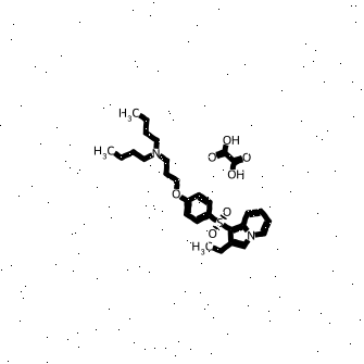 CCCCN(CCCC)CCCOc1ccc(S(=O)(=O)c2c(CC)cn3ccccc23)cc1.O=C(O)C(=O)O